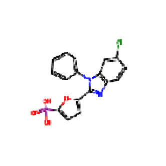 O=P(O)(O)c1ccc(-c2nc3ccc(Cl)cc3n2-c2ccccc2)o1